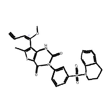 C=C/C=C(/OC)c1c(C)sc2c(=O)n(-c3cccc(S(=O)(=O)N4CCCc5ccccc54)c3)c(=O)[nH]c12